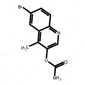 Cc1c(OC(N)=O)cnc2ccc(Br)cc12